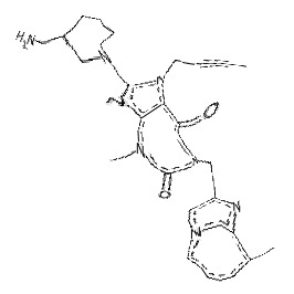 CC#CCn1c(N2CCCC(N)C2)nc2c1c(=O)n(Cc1cn3cccc(C)c3n1)c(=O)n2C